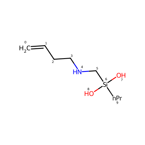 C=CCCNC[Si](O)(O)CCC